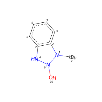 CC(C)(C)N1c2ccccc2NN1O